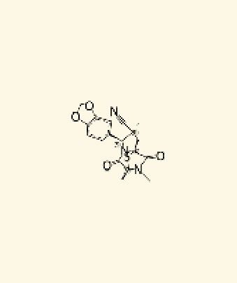 CN1C(=O)[C@@]23C[C@](C)(C#N)[C@H](c4ccc5c(c4)OCO5)N2C(=O)[C@]1(C)S3